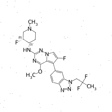 COc1nc(N[C@H]2CCN(C)C[C@H]2F)nn2cc(F)c(-c3ccc4nnn(CC(C)(F)F)c4c3)c12